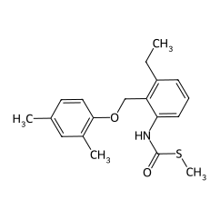 CCc1cccc(NC(=O)SC)c1COc1ccc(C)cc1C